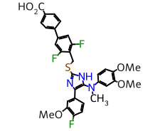 COc1cc(-c2nc(SCc3c(F)cc(-c4ccc(C(=O)O)cc4)cc3F)[nH]c2N(C)c2ccc(OC)c(OC)c2)ccc1F